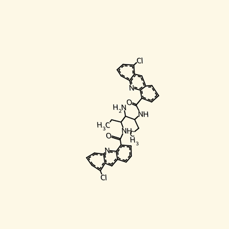 CCC(NC(=O)c1cccc2cc3c(Cl)cccc3nc12)C(N)C(CC)NC(=O)c1cccc2cc3c(Cl)cccc3nc12